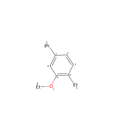 [CH2]C(C)c1ccc(CC)c(OCC)c1